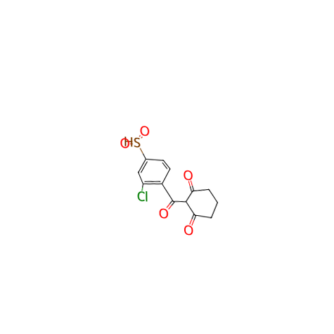 O=C1CCCC(=O)C1C(=O)c1ccc([SH](=O)=O)cc1Cl